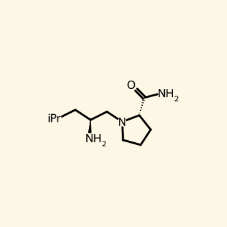 CC(C)C[C@H](N)CN1CCC[C@H]1C(N)=O